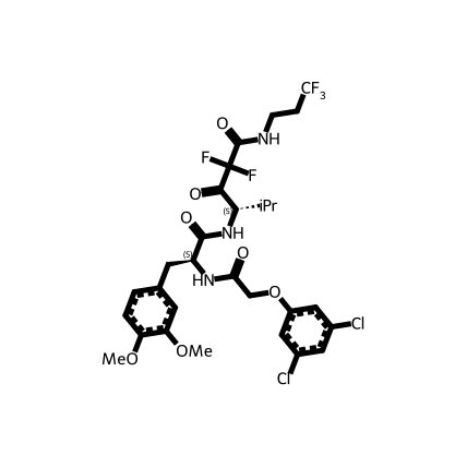 COc1ccc(C[C@H](NC(=O)COc2cc(Cl)cc(Cl)c2)C(=O)N[C@H](C(=O)C(F)(F)C(=O)NCCC(F)(F)F)C(C)C)cc1OC